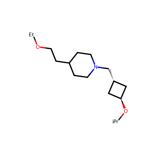 CCOCCC1CCN(C[C@H]2C[C@H](OC(C)C)C2)CC1